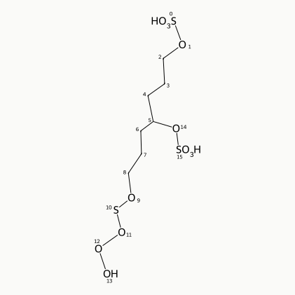 O=S(=O)(O)OCCCC(CCCOSOOO)OS(=O)(=O)O